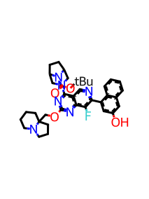 CC(C)(C)OC(=O)N1C2CCC1CN(c1nc(OCC34CCCCN3CCC4)nc3c(F)c(-c4cc(O)cc5ccccc45)ncc13)C2